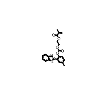 C=C(C)C(=O)OCCOC(=O)Oc1ccc(C)cc1-n1nc2ccccc2n1